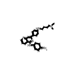 CN(C)CCCCNc1ccc(-c2cc3ncccc3c(NC3CCC(N)CC3)n2)cc1